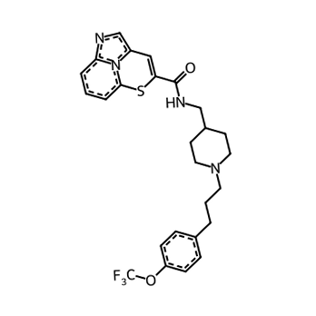 O=C(NCC1CCN(CCCc2ccc(OC(F)(F)F)cc2)CC1)C1=Cc2cnc3cccc(n23)S1